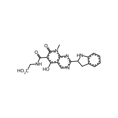 Cn1c(=O)c(C(=O)NCC(=O)O)c(O)c2cnc(C3Cc4ccccc4N3)nc21